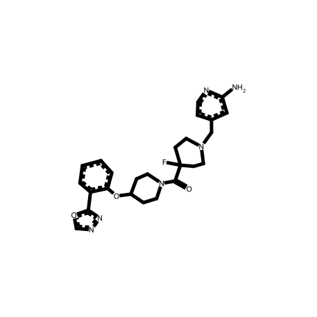 Nc1cc(CN2CCC(F)(C(=O)N3CCC(Oc4ccccc4-c4nnco4)CC3)CC2)ccn1